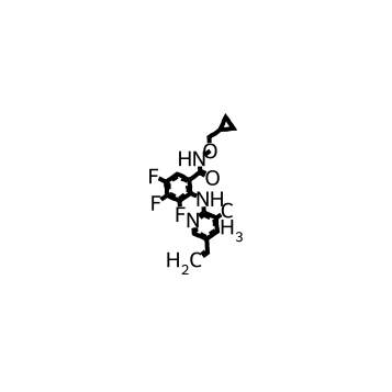 C=Cc1cnc(Nc2c(C(=O)NOCC3CC3)cc(F)c(F)c2F)c(C)c1